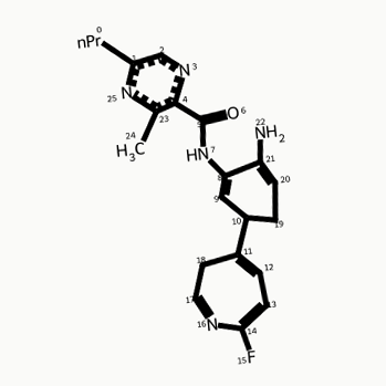 CCCc1cnc(C(=O)NC2=CC(C3=CC=C(F)N=CC3)CC=C2N)c(C)n1